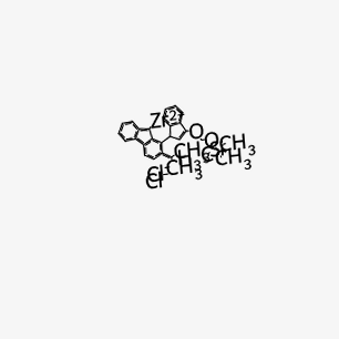 CC(C)=c1ccc2c(c1C1C=C(OCO[Si](C)(C)C)c3ccccc31)[C]([Zr+2])=c1ccccc1=2.[Cl-].[Cl-]